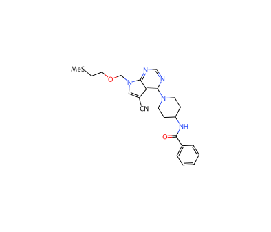 CSCCOCn1cc(C#N)c2c(N3CCC(NC(=O)c4ccccc4)CC3)ncnc21